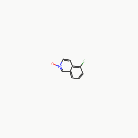 [O-][n+]1ccc2c(Cl)cccc2c1